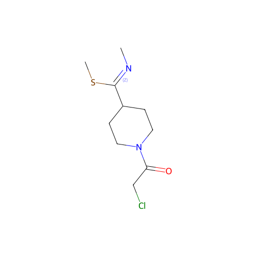 C/N=C(\SC)C1CCN(C(=O)CCl)CC1